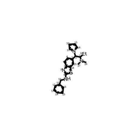 CCC(C(c1ccc2nc(NCc3ccccc3)sc2c1)n1cccc1)N(C)C